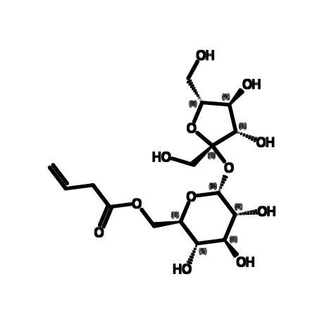 C=CCC(=O)OC[C@H]1O[C@H](O[C@]2(CO)O[C@H](CO)[C@@H](O)[C@@H]2O)[C@H](O)[C@@H](O)[C@@H]1O